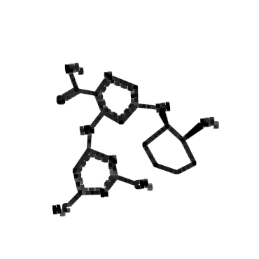 Cc1cc(Nc2cc(N[C@@H]3CCCC[C@@H]3N)cnc2C(N)=O)nc(C)n1